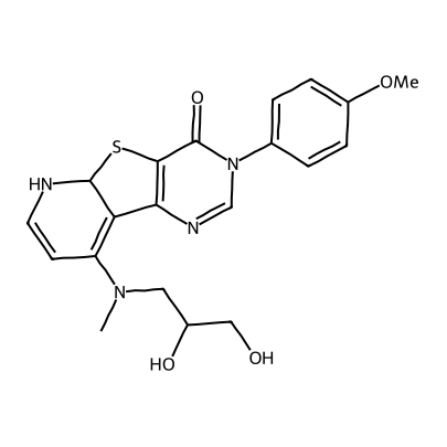 COc1ccc(-n2cnc3c(c2=O)SC2NC=CC(N(C)CC(O)CO)=C32)cc1